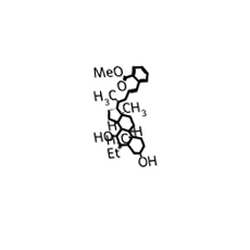 CC[C@@H]1C2C[C@H](O)CC[C@@]2(C)[C@H]2CC[C@]3(C)[C@@H]([C@H](C)C/C=C/c4ccccc4C(=O)OC)CC[C@H]3C2[C@@H]1O